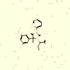 CCC(C(=O)O)N1C(=O)N(c2ccccn2)C(=O)C1(C)c1cc(F)cc(F)c1